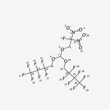 O=[N+]([O-])C(F)(COC(OCC(F)(F)C(F)(F)C(F)(F)F)OCC(F)(F)C(F)(F)C(F)(F)F)[N+](=O)[O-]